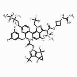 CC(C)(CCc1ccc(-c2ccc(Cl)c3c(N(C(=O)O[C@H]4C[C@H](NC(=N)N)C4)S(C)(=O)=O)nn(CC(F)(F)F)c23)c([C@H](Cc2cc(F)cc(F)c2)NC(=O)Cn2nc(C(F)(F)F)c3c2C(F)(F)C2C[C@H]32)n1)S(C)(=O)=O